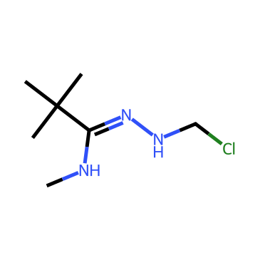 CN/C(=N\NCCl)C(C)(C)C